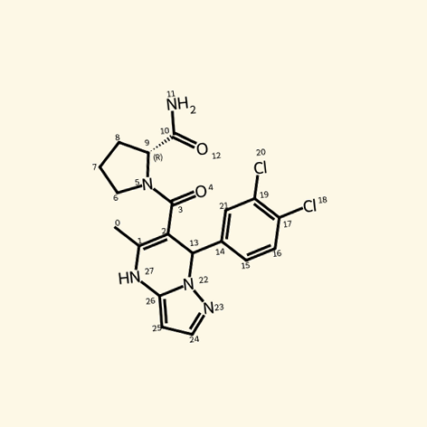 CC1=C(C(=O)N2CCC[C@@H]2C(N)=O)C(c2ccc(Cl)c(Cl)c2)n2nccc2N1